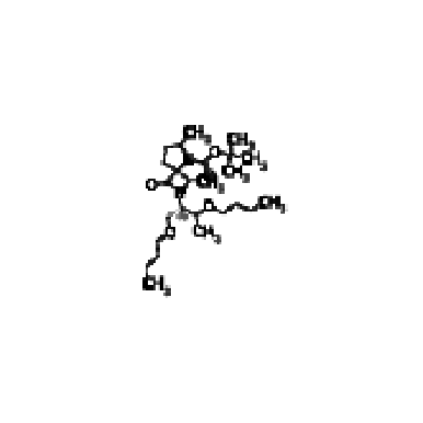 CCCCOC[C@@H](C(C)OCCCC)N1C(=O)C2(CCC(C)N2C(=O)OC(C)(C)C)C1C